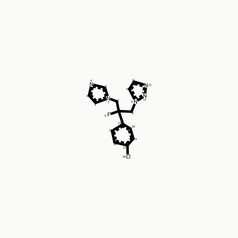 FC(Cn1ccnc1)(Cn1ccnn1)c1ccc(Cl)cc1